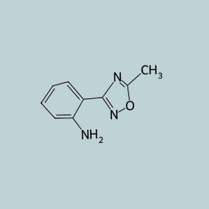 Cc1nc(-c2ccccc2N)no1